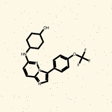 OC1CCC(Nc2ccc3ncc(-c4ccc(OC(F)(F)F)cc4)n3n2)CC1